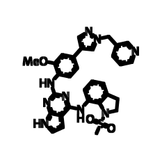 COc1cc(-c2cnn(Cc3cccnc3)c2)ccc1Nc1nc(Nc2cccc3c2N(S(C)(=O)=O)CC3)c2cc[nH]c2n1